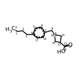 CCCCc1ccc(CN2CC(C(=O)O)C2)cc1